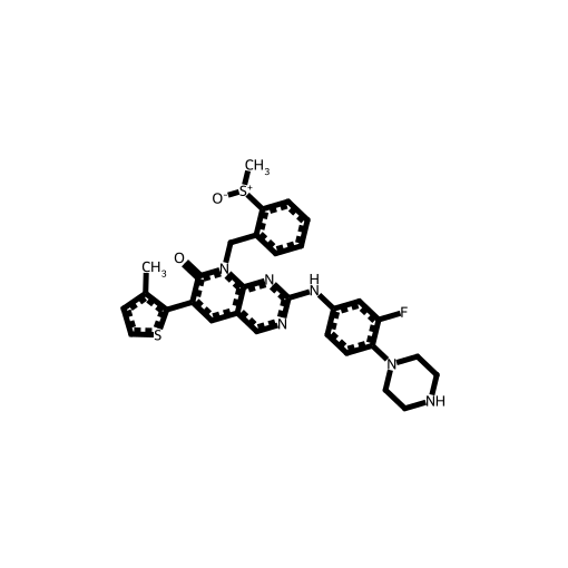 Cc1ccsc1-c1cc2cnc(Nc3ccc(N4CCNCC4)c(F)c3)nc2n(Cc2ccccc2[S+](C)[O-])c1=O